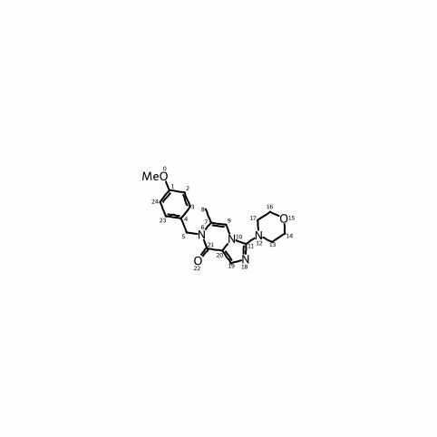 COc1ccc(Cn2c(C)cn3c(N4CCOCC4)ncc3c2=O)cc1